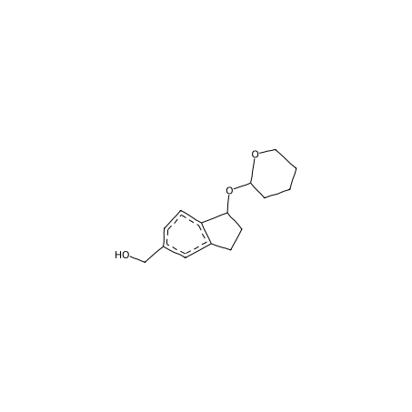 OCc1ccc2c(c1)CCC2OC1CCCCO1